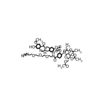 COc1cc2c(cc1O)N=C[C@@H]1Cc3ccc(OS(=O)(=O)Oc4cc(C(=O)NCCOCCOCCOCCN=[N+]=[N-])ccc4OC4O[C@H](COC(C)=O)[C@H](OC(C)=O)[C@H](OC(C)=O)[C@H]4OC(C)=O)cc3CN1C2=O